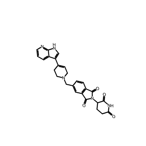 O=C1CCC(N2C(=O)c3ccc(CN4CC=C(c5c[nH]c6ncccc56)CC4)cc3C2=O)C(=O)N1